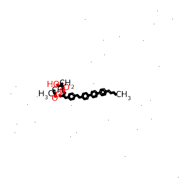 C=C(C)C(=O)OCC(COC(=O)C(=C)CO)CC1CCC(CCC2CCC(C3CC=C(c4ccc(CCCCC)cc4)CC3)CC2)CC1